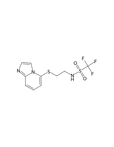 O=S(=O)(NCCSc1cccc2nccn12)C(F)(F)F